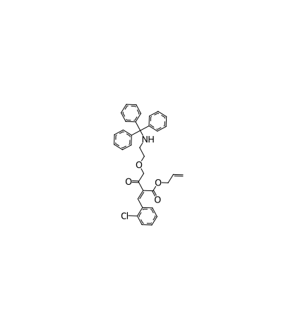 C=CCOC(=O)C(=Cc1ccccc1Cl)C(=O)COCCNC(c1ccccc1)(c1ccccc1)c1ccccc1